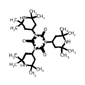 CC1(C)CC(n2c(=O)n(C3CC(C)(C)NC(C)(C)C3)c(=O)n(C3CC(C)(C)NC(C)(C)C3)c2=O)CC(C)(C)N1